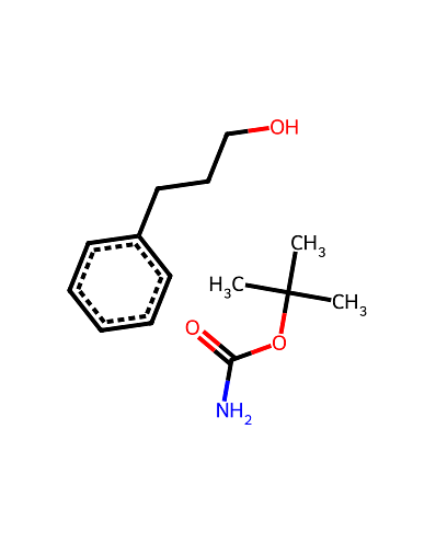 CC(C)(C)OC(N)=O.OCCCc1ccccc1